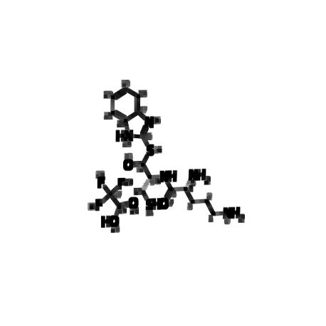 NCCC[C@@H](N)C(=O)N[C@H](CS)C(=O)Sc1nc2ccccc2[nH]1.O=C(O)C(F)(F)F